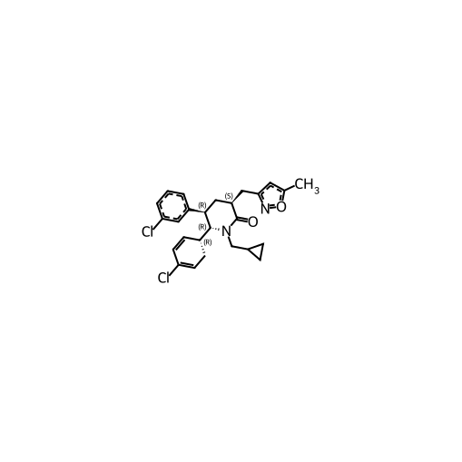 Cc1cc(C[C@@H]2C[C@H](c3cccc(Cl)c3)[C@@H]([C@H]3C=CC(Cl)=CC3)N(CC3CC3)C2=O)no1